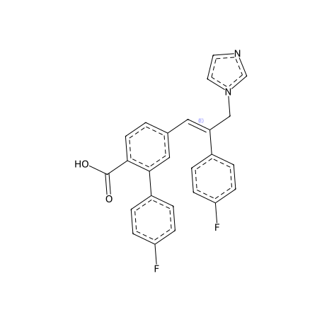 O=C(O)c1ccc(/C=C(/Cn2ccnc2)c2ccc(F)cc2)cc1-c1ccc(F)cc1